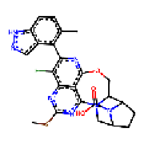 CSc1nc2c3c(nc(-c4c(C)ccc5[nH]ncc45)c(F)c3n1)OCC1C3CCC(CN21)N3C(=O)O